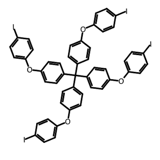 Ic1ccc(Oc2ccc(C(c3ccc(Oc4ccc(I)cc4)cc3)(c3ccc(Oc4ccc(I)cc4)cc3)c3ccc(Oc4ccc(I)cc4)cc3)cc2)cc1